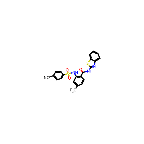 N#Cc1ccc(S(=O)(=O)Nc2cc(C(F)(F)F)ccc2C(=O)Nc2nc3ccccc3s2)cc1